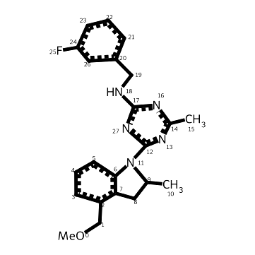 COCc1cccc2c1CC(C)N2c1nc(C)nc(NCc2cccc(F)c2)n1